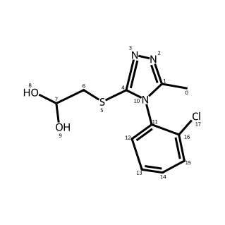 Cc1nnc(SCC(O)O)n1-c1ccccc1Cl